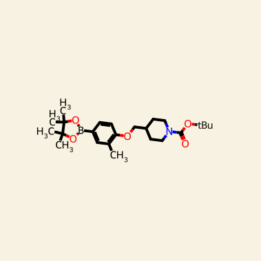 Cc1cc(B2OC(C)(C)C(C)(C)O2)ccc1OCC1CCN(C(=O)OC(C)(C)C)CC1